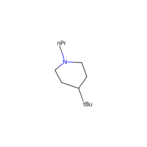 CCCN1CCC(C(C)(C)C)CC1